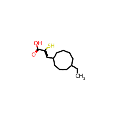 CCC1CCCCC(/C=C(\S)C(=O)O)CCC1